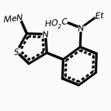 CCN(C(=O)O)c1ccccc1-c1csc(NC)n1